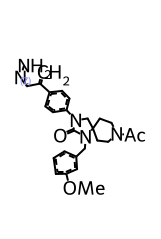 C=C(/C=N\N)c1ccc(N2CC3(CCN(C(C)=O)CC3)N(Cc3cccc(OC)c3)C2=O)cc1